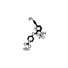 CC(C)C#Cc1ccc(NS(C)(=O)=O)c(COC2CCN(C(=O)OC(C)(C)C)CC2)n1